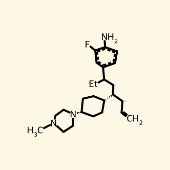 C=C[CH]C(CC(CC)c1ccc(N)c(F)c1)[C@H]1CC[C@@H](N2CCN(C)CC2)CC1